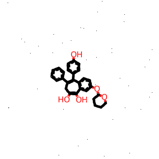 OC1=C(O)c2cc(OC3CCCCO3)ccc2C(c2ccc(O)cc2)=C(c2ccccc2)C1